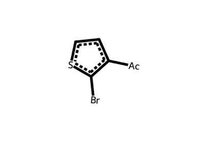 CC(=O)c1ccsc1Br